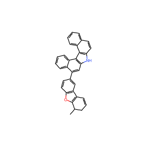 CC1CC=Cc2c1oc1ccc(-c3cc4[nH]c5ccc6ccccc6c5c4c4ccccc34)cc21